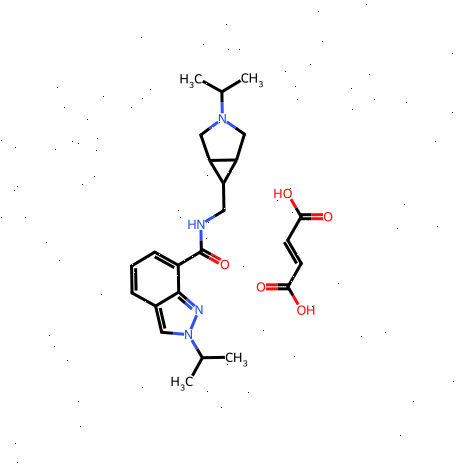 CC(C)N1CC2C(CNC(=O)c3cccc4cn(C(C)C)nc34)C2C1.O=C(O)C=CC(=O)O